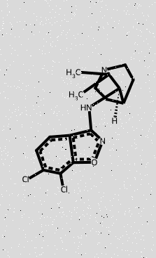 CC1(C)[C@H](Nc2noc3c(Cl)c(Cl)ccc23)C2CCN1CC2